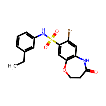 CCc1cccc(NS(=O)(=O)c2cc3c(cc2Br)NC(=O)CCO3)c1